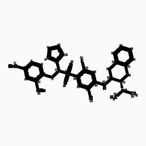 COc1ccc(CN(c2nccs2)S(=O)(=O)c2cc(Cl)c(NC3Cc4ccccc4C[C@@H]3N(C)C)cc2F)c(OC)c1